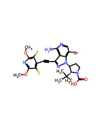 COc1nc(OC)c(F)c(C#Cc2nn(C3CCN(C(=O)O)[C@H]3C(C)(C)C)c3c(Br)cnc(N)c23)c1F